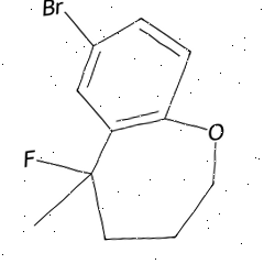 CC1(F)CCCOc2ccc(Br)cc21